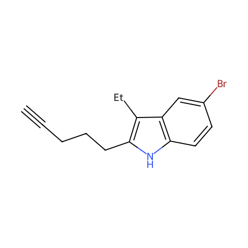 C#CCCCc1[nH]c2ccc(Br)cc2c1C[CH2]